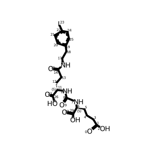 O=C(O)CCC[C@H](NC(=O)N[C@@H](CCC(=O)NCCc1ccc(I)cc1)C(=O)O)C(=O)O